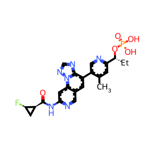 CC[C@@H](OP(=O)(O)O)c1cc(C)c(-c2cc3cnc(NC(=O)[C@H]4C[C@H]4F)cc3n3ncnc23)cn1